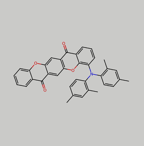 Cc1ccc(N(c2ccc(C)cc2C)c2cccc3c(=O)c4cc5oc6ccccc6c(=O)c5cc4oc23)c(C)c1